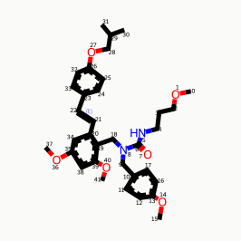 COCCCNC(=O)N(Cc1ccc(OC)cc1)Cc1c(/C=C/c2ccc(OCC(C)C)cc2)cc(OC)cc1OC